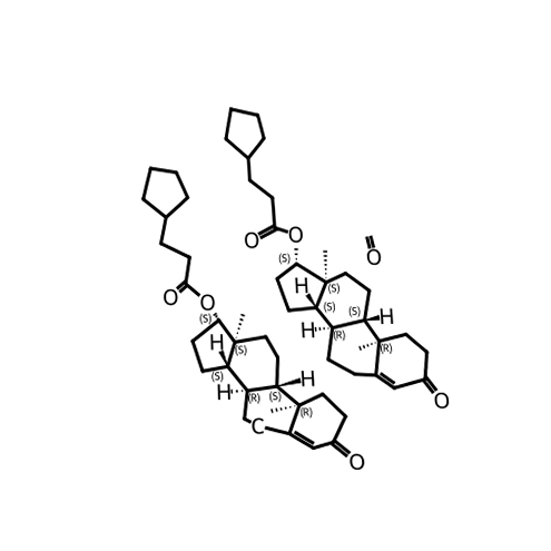 C=O.C[C@]12CC[C@H]3[C@@H](CCC4=CC(=O)CC[C@@]43C)[C@@H]1CC[C@@H]2OC(=O)CCC1CCCC1.C[C@]12CC[C@H]3[C@@H](CCC4=CC(=O)CC[C@@]43C)[C@@H]1CC[C@@H]2OC(=O)CCC1CCCC1